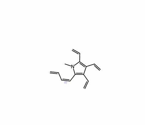 C=C/C=C\c1c(C=C)c(C=C)c(C=C)n1C